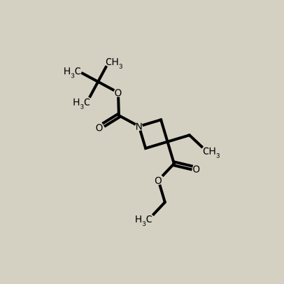 CCOC(=O)C1(CC)CN(C(=O)OC(C)(C)C)C1